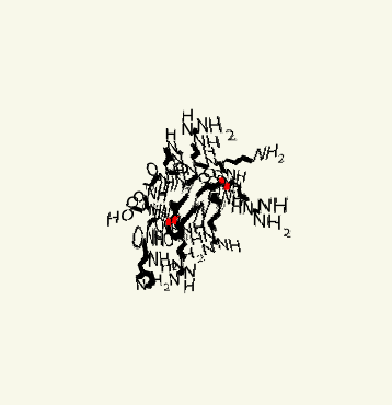 C[C@H](NC(=O)[C@H](CC(=O)O)NC(=O)CNC(=O)[C@@H](N)Cc1cccnc1)C(=O)N[C@@H](Cc1c[nH]cn1)C(=O)N[C@@H](Cc1c[nH]c2ccccc12)C(=O)N[C@@H](CCCNC(=N)N)C(=O)N[C@@H](CCCCN)C(=O)N[C@@H](CCCNC(=N)N)C(=O)N[C@@H](CCCNC(=N)N)C(=O)N[C@@H](CCCCN)C(=O)N[C@@H](CCCNC(=N)N)C(=O)O